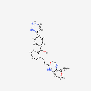 CN/C=C(/NC(=O)CCC1CCCCC1C(=O)c1ccc(C(=N)/C=C\N)cc1)C(=N)C(=O)NC